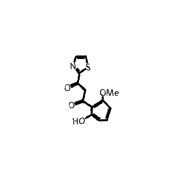 COc1cccc(O)c1C(=O)CC(=O)c1nccs1